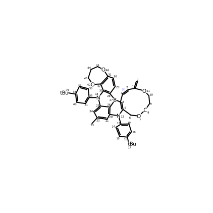 C=C1/C=C\C2=C(COCCCO1)N(c1ccc(C(C)(C)C)cc1)c1cc(C)cc3c1B2c1ccc2c(c1N3c1ccc(C(C)(C)C)cc1)OCCCO2